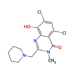 Cn1c(CN2CCCCC2)nc2c(O)c(Cl)cc(Cl)c2c1=O